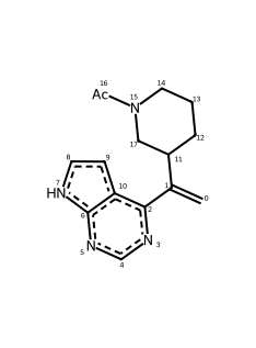 C=C(c1ncnc2[nH]ccc12)C1CCCN(C(C)=O)C1